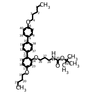 CCCCCOc1ccc(-c2ccc(-c3ccc(OCCCC)cc3OCCCNC(=O)OC(C)(C)C)cc2)cc1